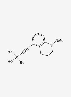 CCC(C)(O)C#Cc1cccc2c1CCCN2NC